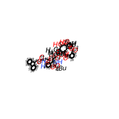 CC1=C2[C@@H](O)C(=O)[C@@]3(C)C4[C@H](OC(=O)c5ccccc5C(=O)O[C@]45CO[C@@H]5C[C@@H]3O)[C@](O)(C[C@@H]1OC(=O)[C@H](OC(=O)CNC(=O)OCC1c3ccccc3-c3ccccc31)[C@@H](NC(=O)OC(C)(C)C)c1ccccc1)C2(C)C